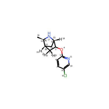 [2H]C1([2H])C(Oc2ccc(Cl)cn2)[C@@H]2C[C@H]1[C@@H](C)N2